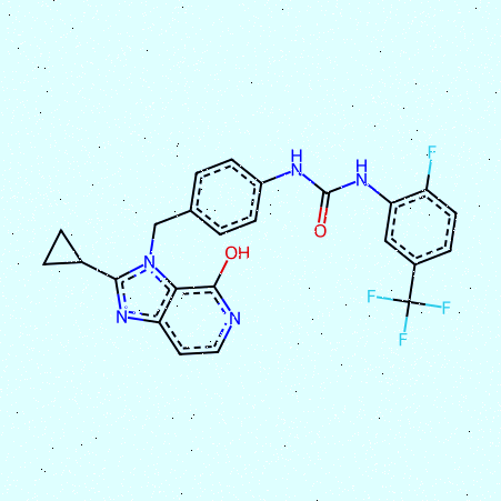 O=C(Nc1ccc(Cn2c(C3CC3)nc3ccnc(O)c32)cc1)Nc1cc(C(F)(F)F)ccc1F